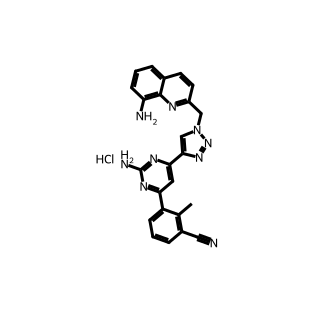 Cc1c(C#N)cccc1-c1cc(-c2cn(Cc3ccc4cccc(N)c4n3)nn2)nc(N)n1.Cl